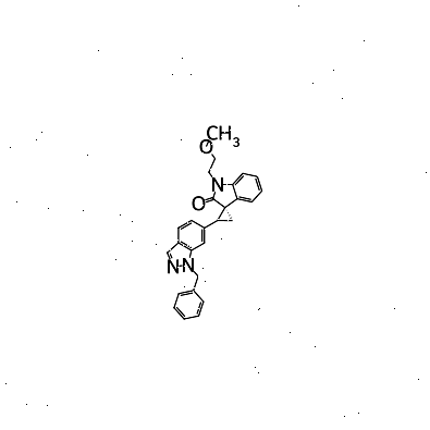 COCCN1C(=O)[C@@]2(CC2c2ccc3cnn(Cc4ccccc4)c3c2)c2ccccc21